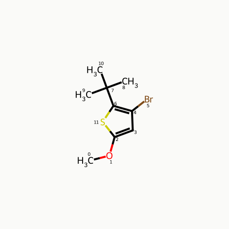 COc1cc(Br)c(C(C)(C)C)s1